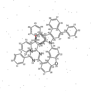 c1ccc(-c2nc(-c3ccccc3)nc(-c3cccc4oc5ccc(-n6c7cc(-c8ccccc8)c8ccccc8c7c7c8ccccc8c(-c8ccccc8)cc76)cc5c34)n2)cc1